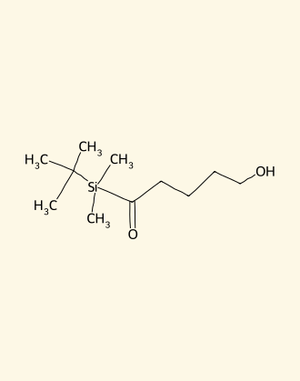 CC(C)(C)[Si](C)(C)C(=O)CCCCO